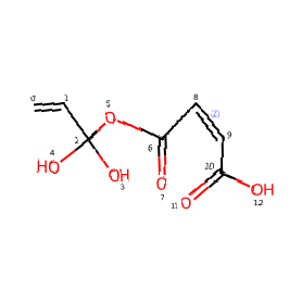 C=CC(O)(O)OC(=O)/C=C\C(=O)O